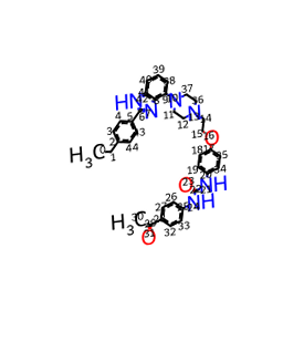 CCc1ccc(-c2nc3c(N4CCN(CCOc5ccc(NC(=O)Nc6ccc(C(C)=O)cc6)cc5)CC4)cccc3[nH]2)cc1